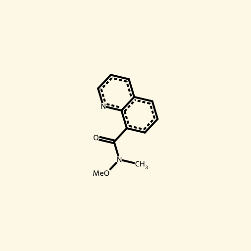 CON(C)C(=O)c1cccc2cccnc12